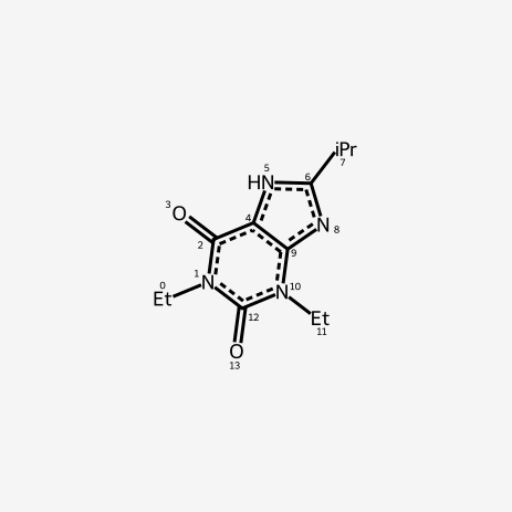 CCn1c(=O)c2[nH]c(C(C)C)nc2n(CC)c1=O